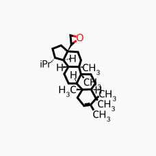 CC1=CC[C@]2(C)[C@H]3CC[C@@H]4[C@H]5[C@H](C(C)C)CC[C@]5(C5CO5)CC[C@@]4(C)[C@]3(C)CC[C@H]2C1(C)C